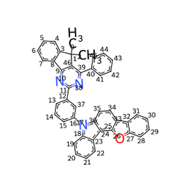 CC1(C)c2ccccc2-c2nc(-c3cccc(-n4c5ccccc5c5c6oc7ccccc7c6ccc54)c3)nc(-c3ccccc3)c21